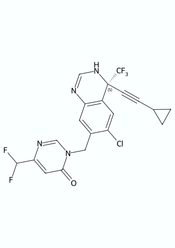 O=c1cc(C(F)F)ncn1Cc1cc2c(cc1Cl)[C@@](C#CC1CC1)(C(F)(F)F)NC=N2